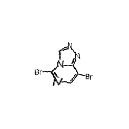 Brc1cnc(Br)n2cnnc12